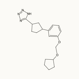 c1cc(OCOC2CCCC2)cc(C2CCC(c3nnn[nH]3)C2)c1